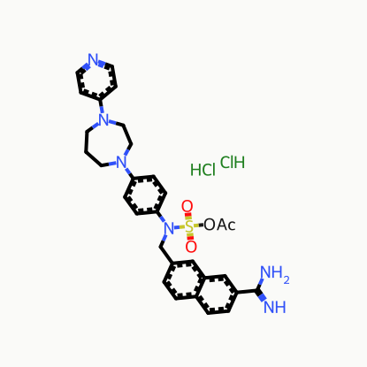 CC(=O)OS(=O)(=O)N(Cc1ccc2ccc(C(=N)N)cc2c1)c1ccc(N2CCCN(c3ccncc3)CC2)cc1.Cl.Cl